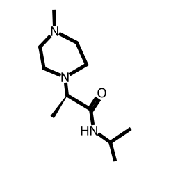 CC(C)NC(=O)[C@@H](C)N1CCN(C)CC1